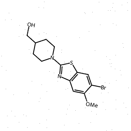 COc1cc2nc(N3CCC(CO)CC3)sc2cc1Br